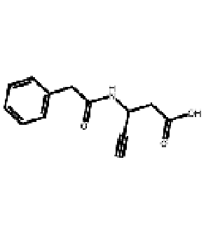 C#CC(CC(=O)O)NC(=O)Cc1ccccc1